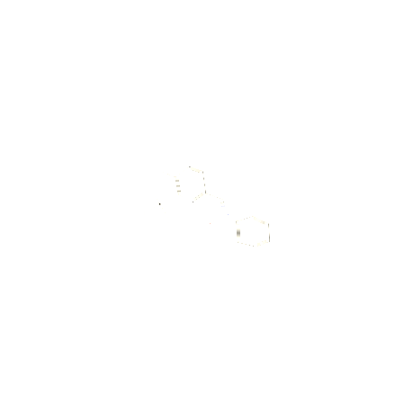 Cc1ccc(C=[N+]([O-])c2ccccc2)cc1C(F)(F)F